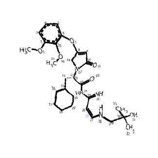 COc1cccc(OC2=CC(=O)N([C@@H](CC3CCCCC3)C(=O)NC(=N)/C=C\NCC(C)(C)O)C2)c1OC